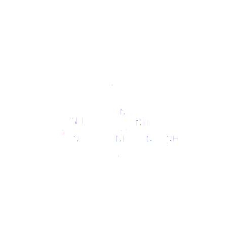 C=C(C(=O)Nc1ccc(N2CCOC2=N)cc1)/C(=N\C=C/N)C(=O)Nc1ccc(Cl)cn1